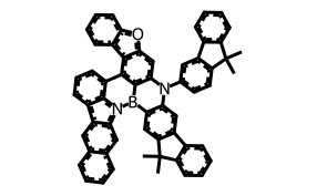 CC1(C)c2ccccc2-c2cc(N3c4cc5c(cc4B4c6c3cc3oc7ccccc7c3c6-c3cccc6c7cc8ccccc8cc7n4c36)C(C)(C)c3ccccc3-5)ccc21